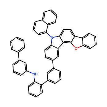 c1ccc(-c2cccc(Nc3ccccc3-c3cccc(-c4ccc5c(c4)c4c6oc7ccccc7c6ccc4n5-c4cccc5ccccc45)c3)c2)cc1